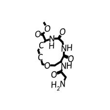 COC(=O)C1CCCCOCC(NC(=O)CN)C(=O)NCC(=O)N1